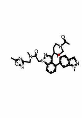 CC(=O)N1CCC(c2nn(CC(=O)N(C)Cc3noc(C)n3)c3cccc(-c4cc5c(cnn5C)cc4F)c23)CC1